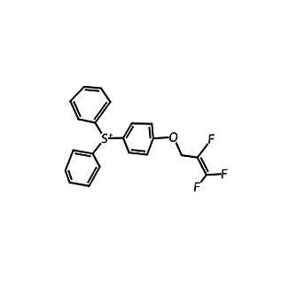 FC(F)=C(F)COc1ccc([S+](c2ccccc2)c2ccccc2)cc1